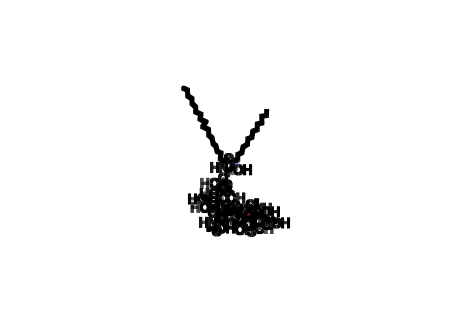 CCCCCCCCCCCCC/C=C/[C@@H](O)[C@H](CO[C@@H]1OC(CO)[C@@H](O[C@@H]2OC(CO)[C@H](O)[C@H](O[C@@H]3OC(CO)[C@@H](O[C@@H]4OC(CO)[C@H](O)[C@H](O[C@]5(C(=O)O)CC(O)[C@@H](NC(C)=O)C([C@H](O)[C@H](O)CO)O5)C4O)[C@H](O)C3NC(C)=O)C2O)[C@H](O)C1O)NC(=O)CCCCCCCCCCCCCCCCCCC